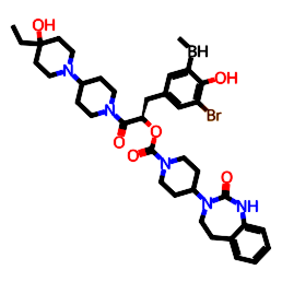 CBc1cc(C[C@@H](OC(=O)N2CCC(N3CCc4ccccc4NC3=O)CC2)C(=O)N2CCC(N3CCC(O)(CC)CC3)CC2)cc(Br)c1O